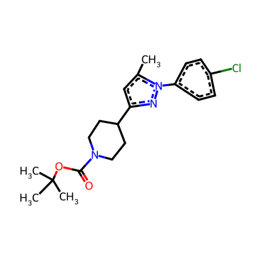 Cc1cc(C2CCN(C(=O)OC(C)(C)C)CC2)nn1-c1ccc(Cl)cc1